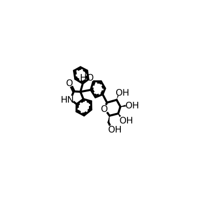 O=C1Nc2ccccc2C1(c1ccccc1)c1cc(C2O[C@H](CO)[C@H](O)[C@H](O)[C@H]2O)ccc1O